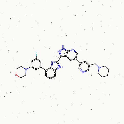 Fc1cc(-c2cccc3[nH]c(-c4n[nH]c5ncc(-c6cncc(CN7CCCCC7)c6)cc45)nc23)cc(N2CCOCC2)c1